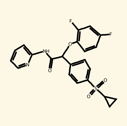 O=C(Nc1ccccn1)C(Oc1ccc(F)cc1F)c1ccc(S(=O)(=O)C2CC2)cc1